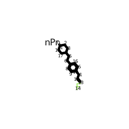 CCCC1CCC(CCc2ccc(CC=CF)cc2)CC1